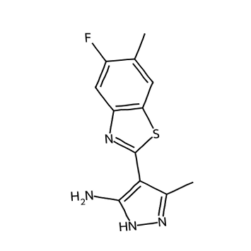 Cc1cc2sc(-c3c(C)n[nH]c3N)nc2cc1F